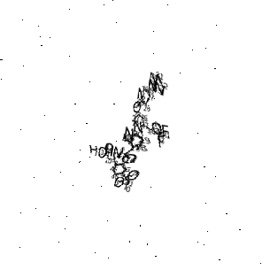 CCS(=O)(=O)c1ccc([C@H](CC(=O)O)NC(=O)c2ccc(N3C[C@@H](Oc4ccc(-n5nccn5)cn4)CC3COC(F)F)nc2)cc1